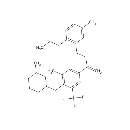 C=C(CCc1cc(C)ccc1CCC)c1cc(C)c(CC2CCCC(C)C2)c(C(F)(F)F)c1